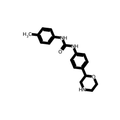 Cc1ccc(NC(=O)Nc2ccc(C3CNCCO3)cc2)cc1